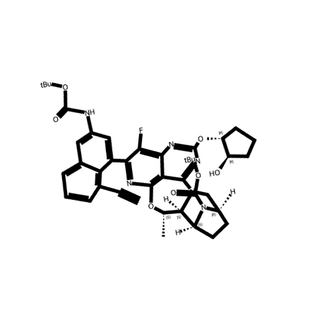 C#Cc1cccc2cc(NC(=O)OC(C)(C)C)cc(-c3nc4c5c(nc(O[C@@H]6CCC[C@H]6O)nc5c3F)N3C[C@H]5CC[C@@H]([C@H]3[C@H](C)O4)N5C(=O)OC(C)(C)C)c12